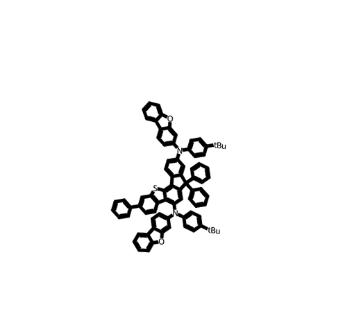 CC(C)(C)c1ccc(N(c2ccc3c(c2)C(c2ccccc2)(c2ccccc2)c2cc(N(c4ccc(C(C)(C)C)cc4)c4ccc5c(c4)oc4ccccc45)c4c(sc5cc(-c6ccccc6)ccc54)c2-3)c2ccc3c(c2)oc2ccccc23)cc1